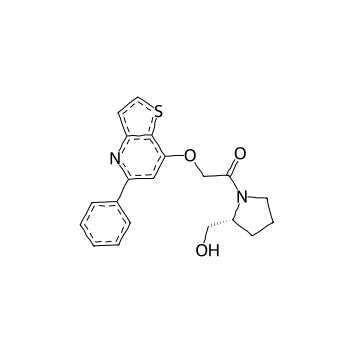 O=C(COc1cc(-c2ccccc2)nc2ccsc12)N1CCC[C@@H]1CO